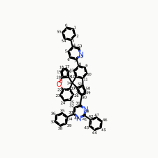 c1ccc(-c2ccc(-c3ccc4c(c3)C3(c5ccccc5Oc5ccccc53)c3cc(-c5cc(-c6ccccc6)nc(-c6ccccc6)n5)ccc3-4)nc2)cc1